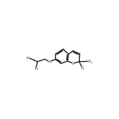 CCC(CC)COc1ccc2c(c1)OC(Cl)(C(F)(F)F)C=C2